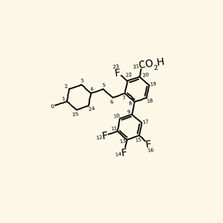 CC1CCC(CCc2c(-c3cc(F)c(F)c(F)c3)ccc(C(=O)O)c2F)CC1